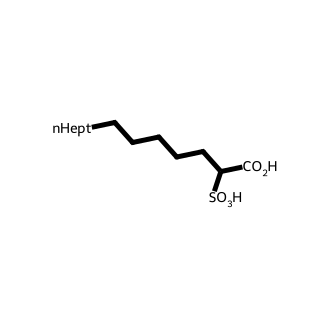 CCCCCCCCCCCCC(C(=O)O)S(=O)(=O)O